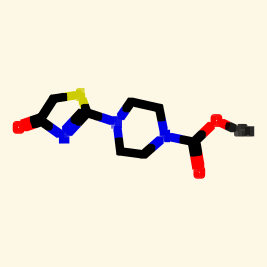 CC(C)(C)OC(=O)N1CCN(C2=NC(=O)CS2)CC1